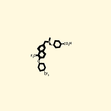 CN(Cc1ccc2c(C(F)(F)F)c(O[C@H]3CC[C@@H](C(F)(F)F)CC3)ccc2c1)C[C@H]1CC[C@H](C(=O)O)CC1